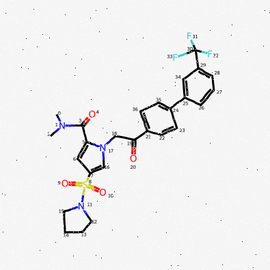 CN(C)C(=O)c1cc(S(=O)(=O)N2CCCC2)cn1CC(=O)c1ccc(-c2cccc(C(F)(F)F)c2)cc1